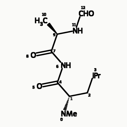 CN[C@@H](CC(C)C)C(=O)NC(=O)[C@@H](C)NC=O